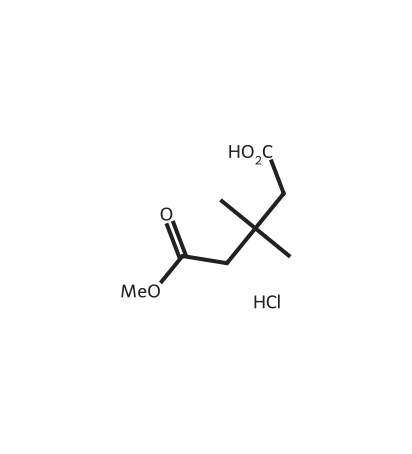 COC(=O)CC(C)(C)CC(=O)O.Cl